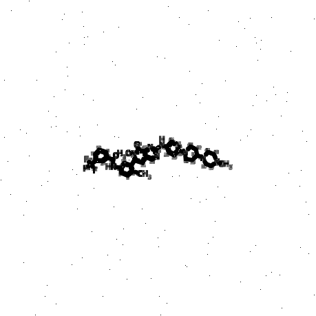 Cc1ccc(NC(=O)c2cccc(C(F)(F)F)c2)cc1-c1cc2cnc(Nc3ccc(N4CCC(N5CCN(C)CC5)CC4)nc3)nc2c(=O)n1C